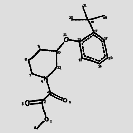 COC(=O)C(=O)N1CCCC(Oc2ccccc2C(C)(C)C)C1